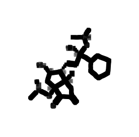 C=C1C[C@H]2[C@@H](C=C[C@@](O[SiH](C)C)(C3CCCCC3)C(C)(C)C)[C@H](C(C)(C)C)C[C@@]2(O[SiH](C)C)C1=O